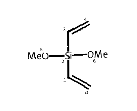 C=C[Si](C=C)(OC)OC